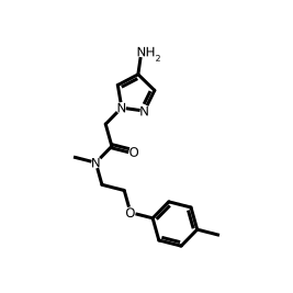 Cc1ccc(OCCN(C)C(=O)Cn2cc(N)cn2)cc1